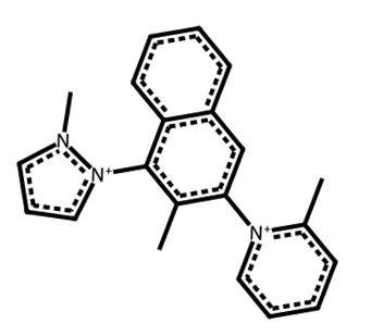 Cc1c(-[n+]2ccccc2C)cc2ccccc2c1-[n+]1cccn1C